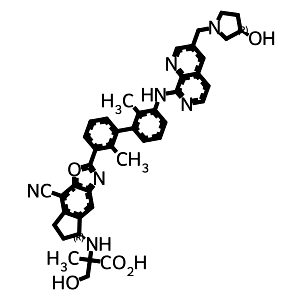 Cc1c(Nc2nccc3cc(CN4CC[C@@H](O)C4)cnc23)cccc1-c1cccc(-c2nc3cc4c(c(C#N)c3o2)CC[C@H]4NC(C)(CO)C(=O)O)c1C